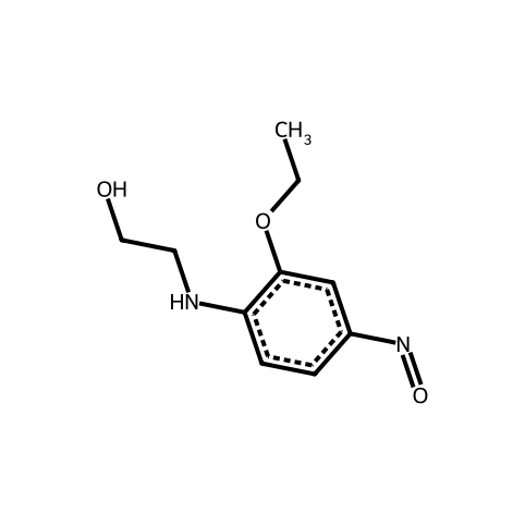 CCOc1cc(N=O)ccc1NCCO